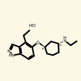 CCN[C@@H]1CCC[C@@H](Oc2ccc3[nH]ncc3c2CC)C1.Cl